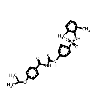 Cc1cccc(C)c1NS(=O)(=O)c1ccc(NC(=S)NC(=O)c2ccc(OC(C)C)cc2)cc1